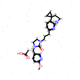 COc1ccc([C@H](CC(=O)O)N2CCN(CCCc3ccc4c(n3)NCCC43CC3)C2=O)cn1